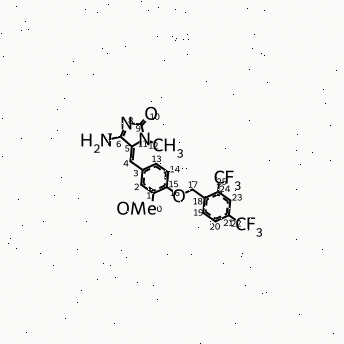 COc1cc(C=C2C(N)=NC(=O)N2C)ccc1OCc1ccc(C(F)(F)F)cc1C(F)(F)F